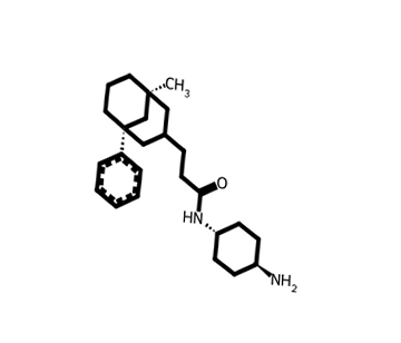 C[C@]12CCC[C@](c3ccccc3)(CC(CCC(=O)N[C@H]3CC[C@H](N)CC3)C1)C2